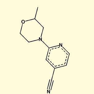 CC1CN(c2cc(C#N)ccn2)CCO1